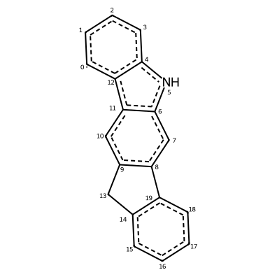 [c]1cccc2[nH]c3cc4c(cc3c12)Cc1ccccc1-4